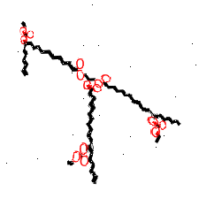 C=COC(=O)O[C@H](CCCCCC)CCCCCCCCCCC(=O)OCC(COC(=O)CCCCCCCCCC[C@@H](CCCCCC)OC(=O)OC=C)OC(=O)CCCCCCCCCC[C@@H](CCCCCC)OC(=O)OC=C